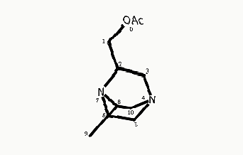 CC(=O)OCC1CN2CCN1C(C)C2